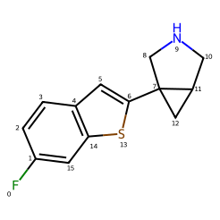 Fc1ccc2cc(C34CNCC3C4)sc2c1